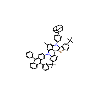 Cc1cc2c3c(c1)N(c1ccc(C45CC6CC(CC(C6)C4)C5)cc1)c1c(sc4ccc(C(C)(C)C)cc14)B3c1ccc(C(C)(C)C)cc1N2c1ccc2c(-c3ccccc3)c3ccccc3c(-c3ccccc3)c2c1